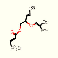 CCCCC=CC(COC(=O)/C=C/C(=O)OCC)OC=C(CC)CCCC